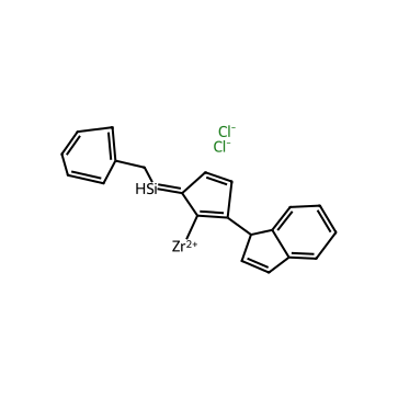 [Cl-].[Cl-].[Zr+2][C]1=C(C2C=Cc3ccccc32)C=CC1=[SiH]Cc1ccccc1